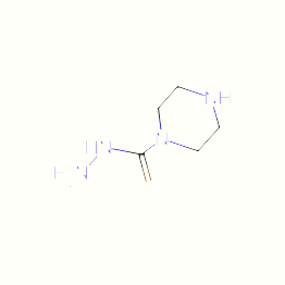 NNC(=S)N1CCNCC1